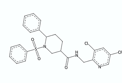 O=C(NCc1ncc(C(F)(F)F)cc1Cl)C1CCC(c2ccccc2)N(S(=O)(=O)c2ccccc2)C1